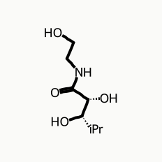 CC(C)[C@H](O)[C@@H](O)C(=O)NCCO